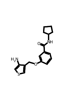 Nc1cscc1COc1cccc(C(=O)NC2CCCC2)c1